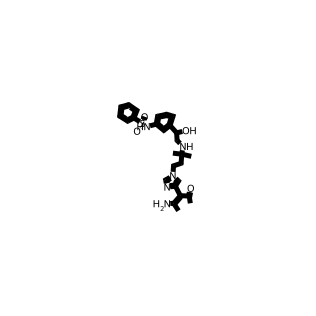 CC(=O)C(=C(C)N)c1cn(CCC(C)(C)NCC(O)c2cccc(NS(=O)(=O)c3ccccc3)c2)cn1